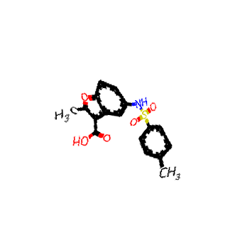 Cc1ccc(S(=O)(=O)Nc2ccc3oc(C)c(C(=O)O)c3c2)cc1